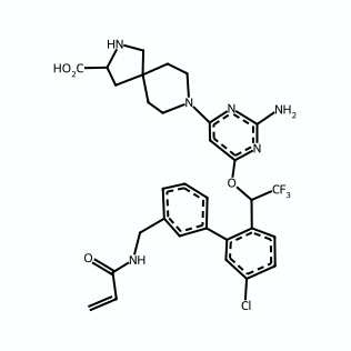 C=CC(=O)NCc1cccc(-c2cc(Cl)ccc2C(Oc2cc(N3CCC4(CC3)CNC(C(=O)O)C4)nc(N)n2)C(F)(F)F)c1